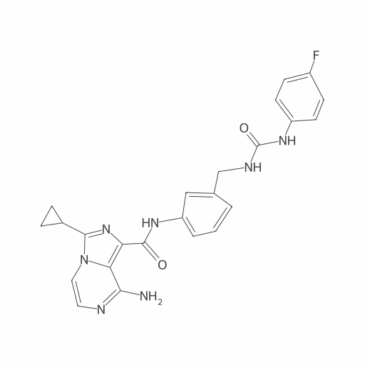 Nc1nccn2c(C3CC3)nc(C(=O)Nc3cccc(CNC(=O)Nc4ccc(F)cc4)c3)c12